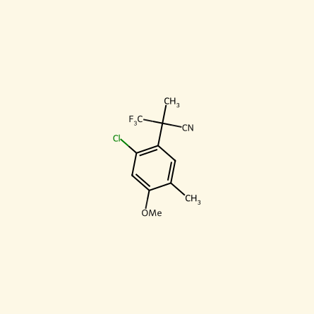 COc1cc(Cl)c(C(C)(C#N)C(F)(F)F)cc1C